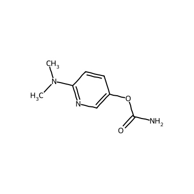 CN(C)c1ccc(OC(N)=O)cn1